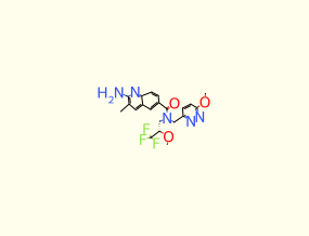 COc1ccc(CN(C[C@H](OC)C(F)(F)F)C(=O)c2ccc3nc(N)c(C)cc3c2)nn1